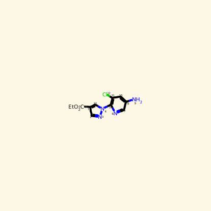 CCOC(=O)c1cnn(-c2ncc(N)cc2Cl)c1